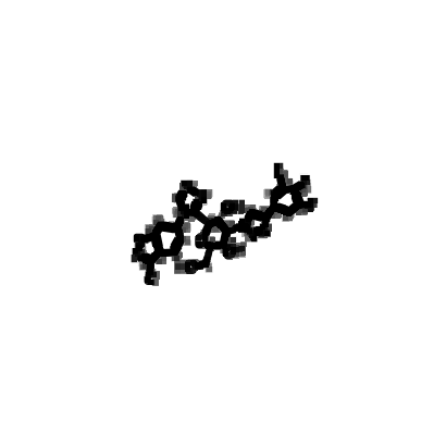 OC[C@H]1O[C@@H](c2nncn2-c2ccc3c(Cl)nsc3c2)[C@H](O)[C@@H](n2cc(-c3cc(F)c(F)c(F)c3)nn2)[C@H]1O